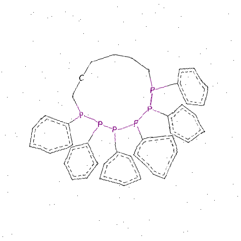 c1ccc(P2CCCCCCP(c3ccccc3)P(c3ccccc3)P(c3ccccc3)P(c3ccccc3)P2c2ccccc2)cc1